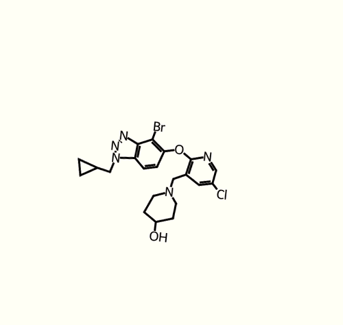 OC1CCN(Cc2cc(Cl)cnc2Oc2ccc3c(nnn3CC3CC3)c2Br)CC1